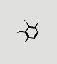 Fc1ccc(F)c(Cl)c1Cl